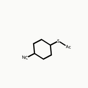 CC(=O)SC1CCC(C#N)CC1